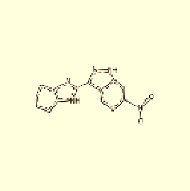 O=[N+]([O-])c1ccc2c(-c3nc4ccccc4[nH]3)n[nH]c2c1